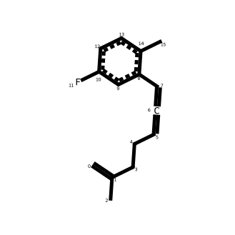 C=C(C)CCC=C=Cc1cc(F)ccc1C